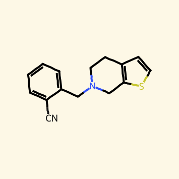 N#Cc1ccccc1CN1CCc2ccsc2C1